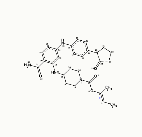 C/C=C(\C)OC(=O)N1CCC(Nc2cc(Nc3ccc(N4CCCC4=O)cc3)ncc2C(N)=O)CC1